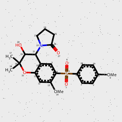 COc1ccc(S(=O)(=O)c2cc3c(cc2OC)OC(C)(C)C(O)C3N2CCCC2=O)cc1